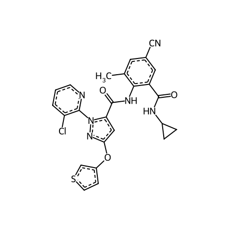 Cc1cc(C#N)cc(C(=O)NC2CC2)c1NC(=O)c1cc(Oc2ccsc2)nn1-c1ncccc1Cl